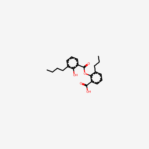 CCCCc1cccc(C(=O)Oc2c(CCC)cccc2C(=O)O)c1O